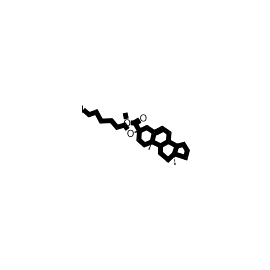 COC(=O)[C@]1(OCCCCCCI)CC[C@@]2(C)C(=CCC3C4CCC[C@@]4(C)CCC32)C1